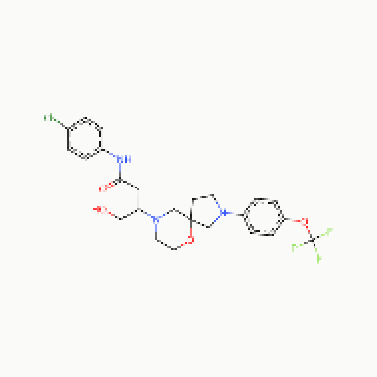 O=C(CC(CO)N1CCOC2(CCN(c3ccc(OC(F)(F)F)cc3)C2)C1)Nc1ccc(Cl)cc1